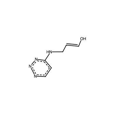 OC=CCNc1ccnnn1